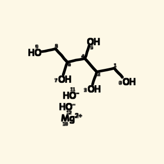 OCC(O)C(O)C(O)CO.[Mg+2].[OH-].[OH-]